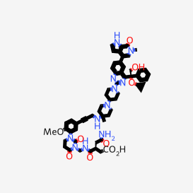 COc1ccc(C#CCNC2(C)CCN(C3CCN(c4nc([C@@](CO)(OC5CC5)c5ccccc5)c5cc(-c6cn(C)c(=O)c7[nH]ccc67)ccc5n4)CC3)CC2)cc1N1CCC(=O)N(CNC(=O)[C@@H](CC(N)=O)CC(=O)O)C1=O